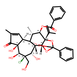 C=C(C)[C@@]12OC3(c4ccccc4)O[C@@H]1[C@@H]1[C@H](O)[C@](Cl)(CO)[C@@H](O)[C@]4(O)C(=O)C(C)=C[C@H]4[C@@]1(O3)[C@H](C)[C@H]2OC(=O)c1ccccc1